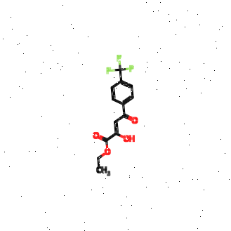 CCOC(=O)C(O)=CC(=O)c1ccc(C(F)(F)F)cc1